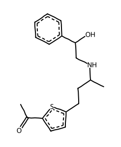 CC(=O)c1ccc(CCC(C)NCC(O)c2ccccc2)s1